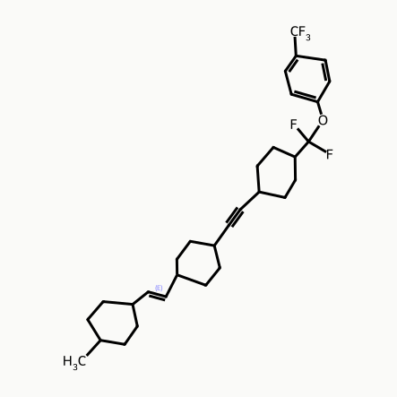 CC1CCC(/C=C/C2CCC(C#CC3CCC(C(F)(F)Oc4ccc(C(F)(F)F)cc4)CC3)CC2)CC1